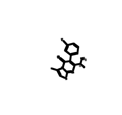 Cc1csc2nc([C@H](C)N)c(-c3cccc(F)c3)c(=O)n12